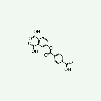 O=C(O)c1ccc(C(=O)Oc2ccc(C(=O)O)c(C(=O)O)c2)cc1